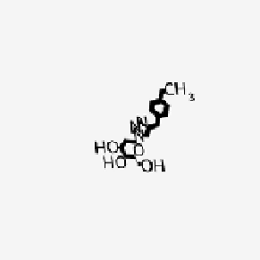 CCc1ccc(Cc2cn([C@H]3C[C@@H](O)[C@H](O)[C@@H](CO)O3)nn2)cc1